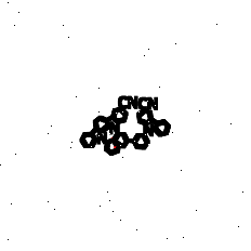 N#Cc1ccc2c(c1)c1ccccc1n2-c1cccc(-c2cccc(-n3c4ccc(C#N)cc4c4ccc5c6ccccc6n(-c6ccccc6)c5c43)c2)c1